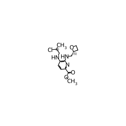 COC(=O)c1ccc(NC[C@H](C)Cl)c(NC[C@@H]2CCO2)n1